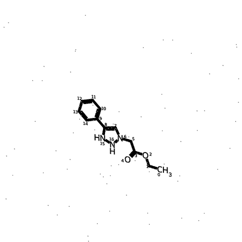 CCOC(=O)CN1C=C(c2ccccc2)NN1